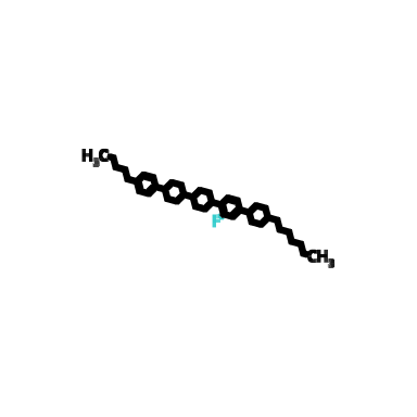 CCCCCCCC1CCC(c2ccc(C3CCC(C4CCC(c5ccc(CCCCC)cc5)CC4)CC3)c(F)c2)CC1